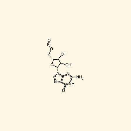 Nc1nc2c(ncn2[C@@H]2O[C@H](COP=O)[C@@H](O)[C@H]2O)c(=O)[nH]1